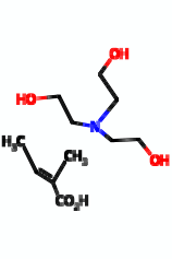 CC=C(C)C(=O)O.OCCN(CCO)CCO